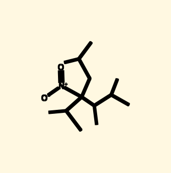 CC(C)CC(C(C)C)(C(C)C(C)C)[N+](=O)[O-]